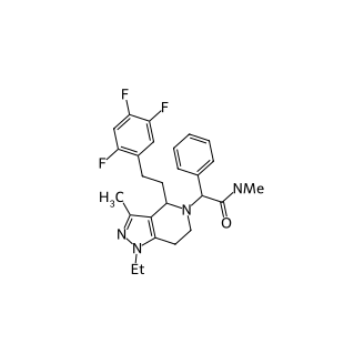 CCn1nc(C)c2c1CCN(C(C(=O)NC)c1ccccc1)C2CCc1cc(F)c(F)cc1F